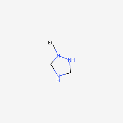 CCN1CNCN1